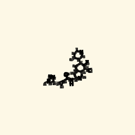 Cc1ccncc1-c1cc2cc(NC(=O)[C@H]3C[C@@H]3c3cn(C)nn3)ncc2c(Cl)c1F